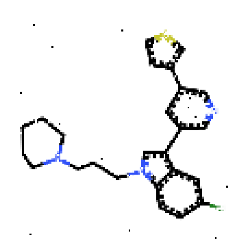 Clc1ccc2c(c1)c(-c1cncc(-c3ccsc3)c1)cn2CCCN1CCCCC1